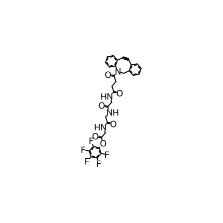 O=C(CCC(=O)N1Cc2ccccc2C#Cc2ccccc21)NCC(=O)NCC(=O)NCC(=O)Oc1c(F)c(F)c(F)c(F)c1F